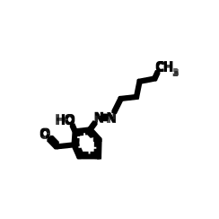 CCCCC/N=N/c1cccc(C=O)c1O